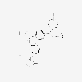 CC[C@H]1COC(=O)N1c1ccnc(N[C@@H](C)c2ccc(C(CC3CC3)N3CCNCC3)cc2)n1